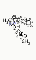 C=CC(=O)N1CCC(CNC(/N=C\C)=C(/C=C)c2ccc(Oc3ccccc3)cc2)CC1